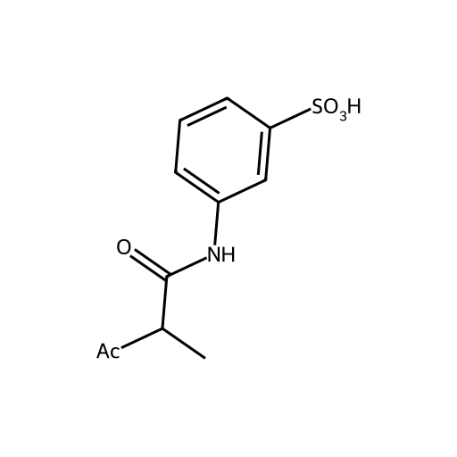 CC(=O)C(C)C(=O)Nc1cccc(S(=O)(=O)O)c1